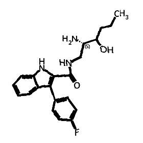 CCCC(O)[C@@H](N)CNC(=O)c1[nH]c2ccccc2c1-c1ccc(F)cc1